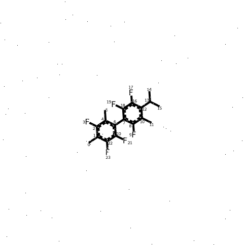 Cc1c(F)c(C)c(-c2c(F)c(C)c(C(C)C)c(F)c2F)c(F)c1F